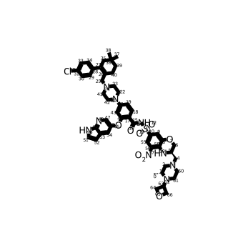 C[C@@H]1CN(C[C@@H]2COc3cc(S(=O)(=O)NC(=O)c4ccc(N5CCN(CC6=C(c7ccc(Cl)cc7)CC(C)(C)CC6)CC5)cc4Oc4cnc5[nH]ccc5c4)cc([N+](=O)[O-])c3N2)CCN1C1COC1